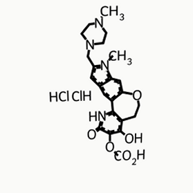 CN1CCN(Cc2cc3cc4c(cc3n2C)OCCc2c-4[nH]c(=O)c(OC(=O)O)c2O)CC1.Cl.Cl